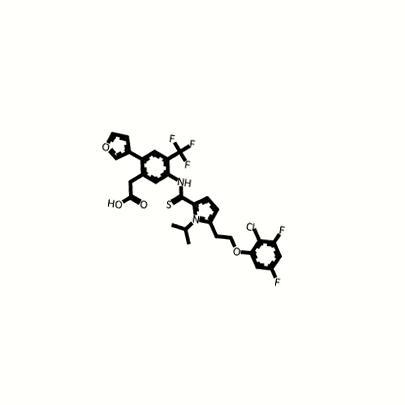 CC(C)n1c(CCOc2cc(F)cc(F)c2Cl)ccc1C(=S)Nc1cc(CC(=O)O)c(-c2ccoc2)cc1C(F)(F)F